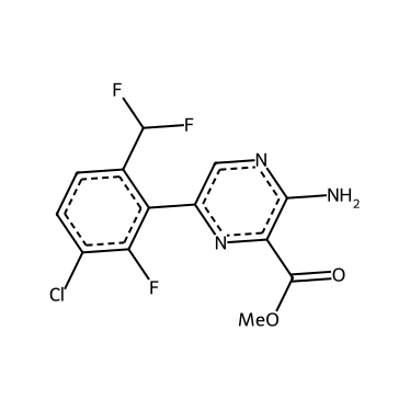 COC(=O)c1nc(-c2c(C(F)F)ccc(Cl)c2F)cnc1N